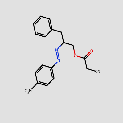 N#CCC(=O)OCC(Cc1ccccc1)N=Nc1ccc([N+](=O)[O-])cc1